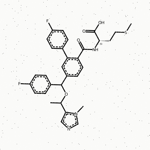 CSCC[C@H](NC(=O)c1ccc(C(OC(C)c2cncn2C)c2ccc(F)cc2)cc1-c1ccc(F)cc1)C(=O)O